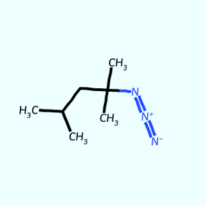 CC(C)CC(C)(C)N=[N+]=[N-]